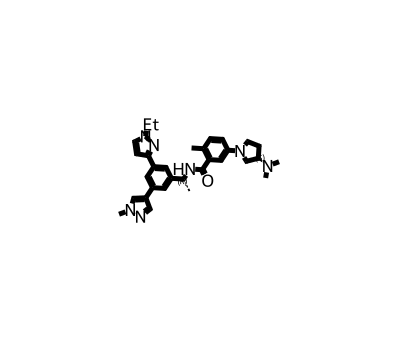 CCn1ccc(-c2cc(-c3cnn(C)c3)cc([C@@H](C)NC(=O)c3cc(N4CC[C@H](N(C)C)C4)ccc3C)c2)n1